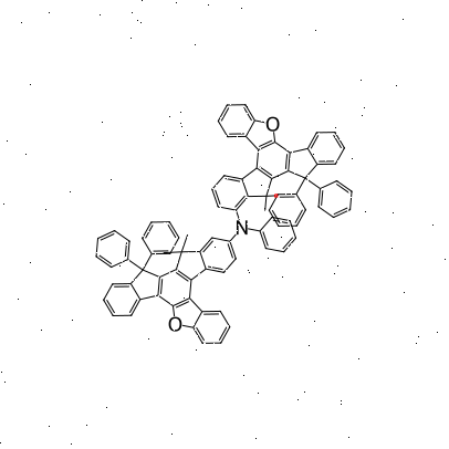 CC1(C)c2cc(N(c3ccccc3)c3cccc4c3C(C)(C)c3c5c(c6oc7ccccc7c6c3-4)-c3ccccc3C5(c3ccccc3)c3ccccc3)ccc2-c2c1c1c(c3oc4ccccc4c23)-c2ccccc2C1(c1ccccc1)c1ccccc1